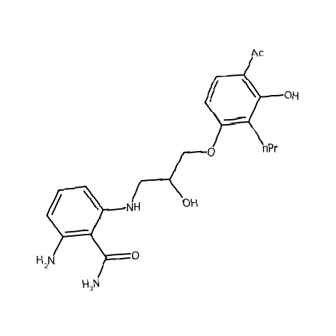 CCCc1c(OCC(O)CNc2cccc(N)c2C(N)=O)ccc(C(C)=O)c1O